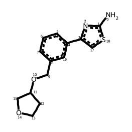 Nc1nc(-c2cccc(COC3CCOC3)c2)cs1